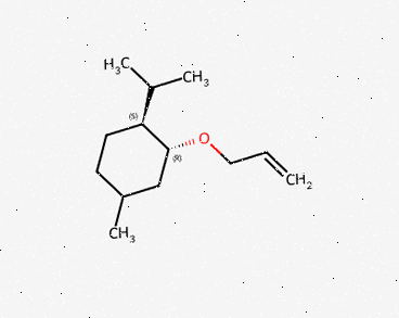 C=CCO[C@@H]1CC(C)CC[C@H]1C(C)C